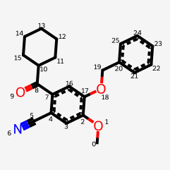 COc1cc(C#N)c(C(=O)C2CCCCC2)cc1OCc1ccccc1